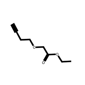 C#CCCOCC(=O)OCC